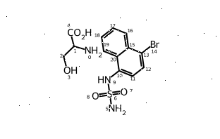 NC(CO)C(=O)O.NS(=O)(=O)Nc1ccc(Br)c2ccccc12